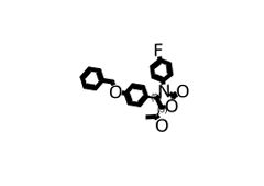 CC(=O)[C@H]1OC(=O)N(c2ccc(F)cc2)[C@@H]1c1ccc(OCc2ccccc2)cc1